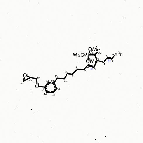 CCC/C=C/CC(/C=C/CCCCCCc1cccc(OCC2CO2)c1)C(C)[Si](OC)(OC)OC